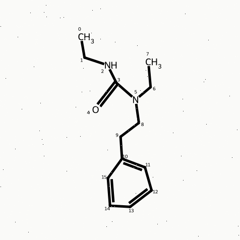 CCNC(=O)N(CC)CCc1ccccc1